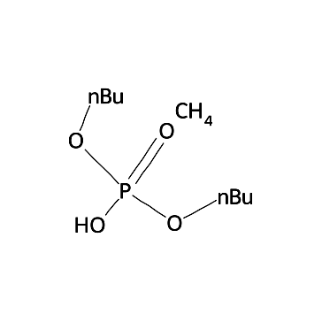 C.CCCCOP(=O)(O)OCCCC